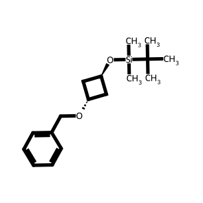 CC(C)(C)[Si](C)(C)O[C@H]1C[C@H](OCc2ccccc2)C1